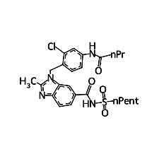 CCCCCS(=O)(=O)NC(=O)c1ccc2nc(C)n(Cc3ccc(NC(=O)CCC)cc3Cl)c2c1